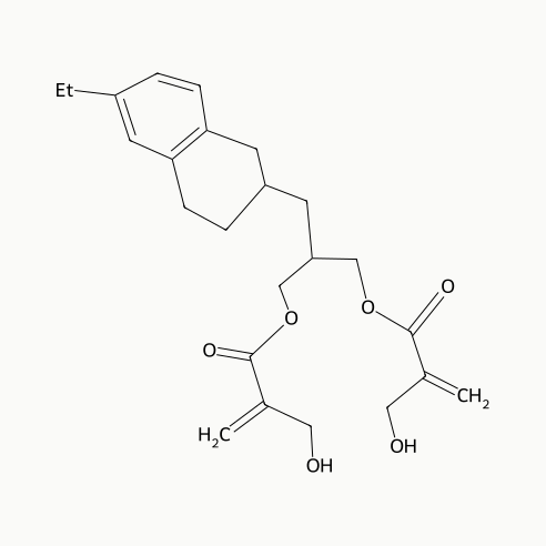 C=C(CO)C(=O)OCC(COC(=O)C(=C)CO)CC1CCc2cc(CC)ccc2C1